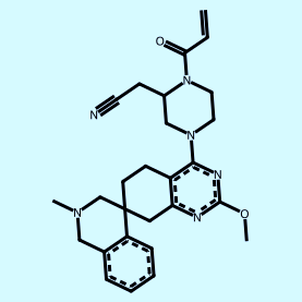 C=CC(=O)N1CCN(c2nc(OC)nc3c2CCC2(C3)CN(C)Cc3ccccc32)CC1CC#N